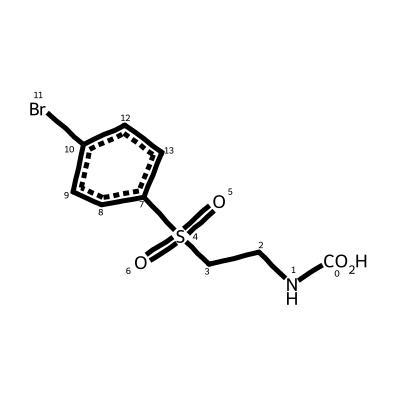 O=C(O)NCCS(=O)(=O)c1ccc(Br)cc1